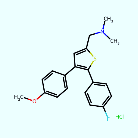 COc1ccc(-c2cc(CN(C)C)sc2-c2ccc(F)cc2)cc1.Cl